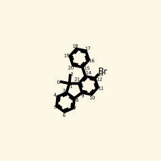 CC1(C)c2ccccc2-c2ccc(Br)c(-c3ccccc3)c21